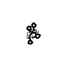 O=C(c1ccccc1)N1Cc2ccccc2[C@@H]2OC(c3ccccc3)=N[C@]2(Cc2ccccc2)C1=O